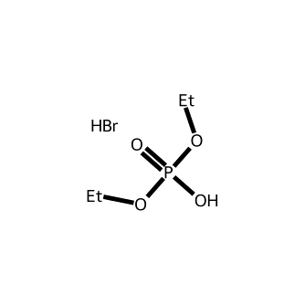 Br.CCOP(=O)(O)OCC